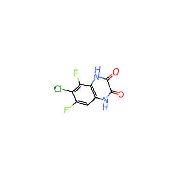 O=c1[nH]c2cc(F)c(Cl)c(F)c2[nH]c1=O